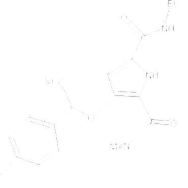 CCNC(=O)c1cc(OC(C)c2ccc(I)cc2)c(C(=O)NC)[nH]1